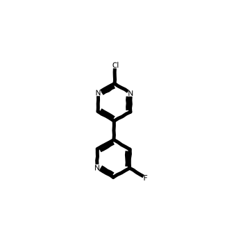 Fc1cncc(-c2cnc(Cl)nc2)c1